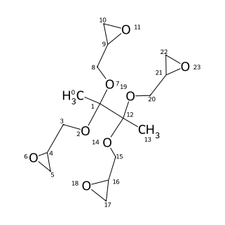 CC(OCC1CO1)(OCC1CO1)C(C)(OCC1CO1)OCC1CO1